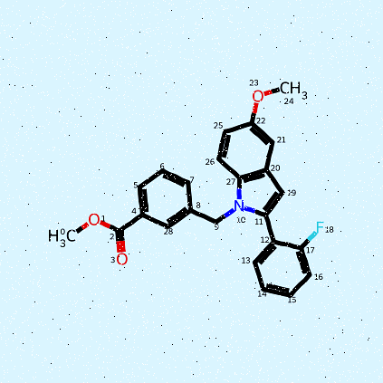 COC(=O)c1cccc(Cn2c(-c3ccccc3F)cc3cc(OC)ccc32)c1